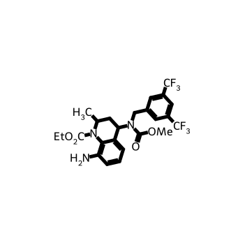 CCOC(=O)N1c2c(N)cccc2C(N(Cc2cc(C(F)(F)F)cc(C(F)(F)F)c2)C(=O)OC)CC1C